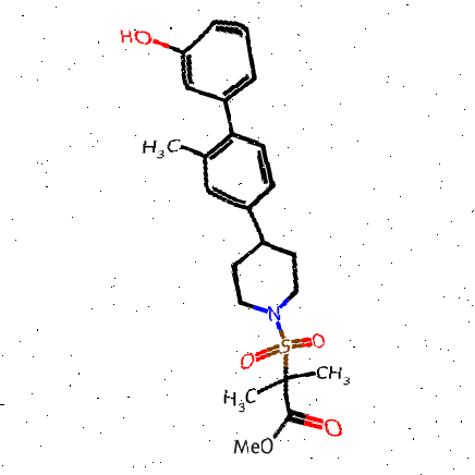 COC(=O)C(C)(C)S(=O)(=O)N1CCC(c2ccc(-c3cccc(O)c3)c(C)c2)CC1